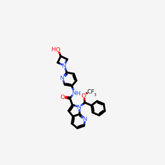 O=C(Nc1ccc(N2CC(O)C2)nc1)c1cc2cccnc2n1C(OC(F)(F)F)c1ccccc1